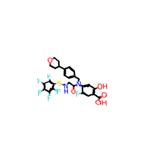 O=C(O)c1cc(F)c(N(Cc2ccc(C3CCOCC3)cc2)C(=O)CNSc2c(F)c(F)c(F)c(F)c2F)cc1O